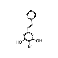 Oc1cc(C=Cc2ccccc2)cc(O)c1Br